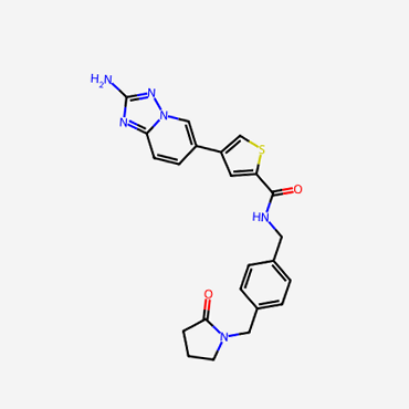 Nc1nc2ccc(-c3csc(C(=O)NCc4ccc(CN5CCCC5=O)cc4)c3)cn2n1